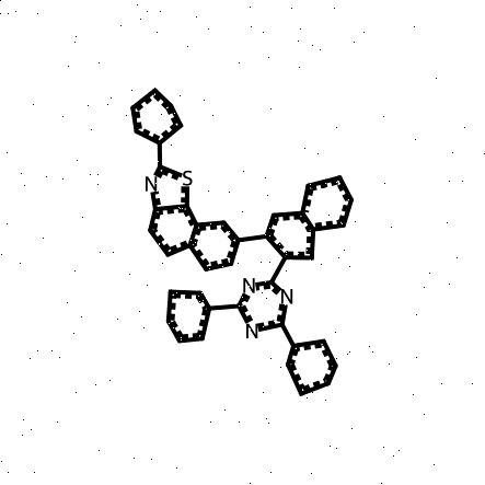 c1ccc(-c2nc(-c3ccccc3)nc(-c3cc4ccccc4cc3-c3ccc4ccc5nc(-c6ccccc6)sc5c4c3)n2)cc1